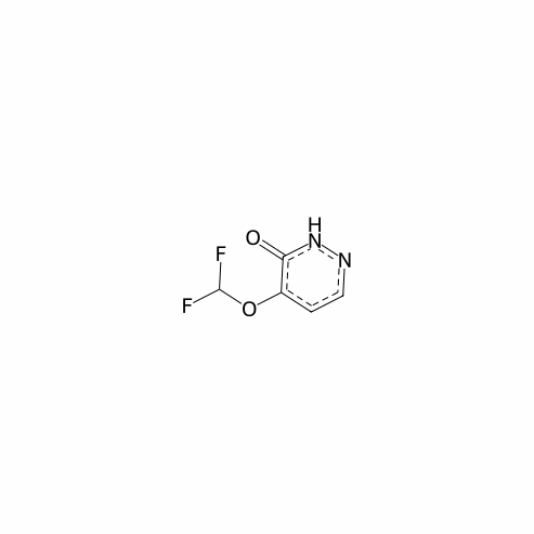 O=c1[nH]nccc1OC(F)F